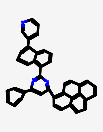 c1ccc(-c2cc(-c3ccc4ccc5cccc6ccc3c4c56)nc(-c3cccc4c(-c5cccnc5)cccc34)n2)cc1